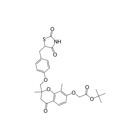 Cc1c(OCC(=O)OC(C)(C)C)ccc2c1OC(C)(COc1ccc(CC3SC(=O)NC3=O)cc1)CC2=O